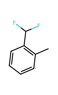 Cc1[c]cccc1C(F)F